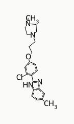 Cc1ccc2[nH]c(-c3ccc(OCCCN4CCN(C)CC4)cc3Cl)nc2c1